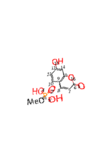 COP(=O)(O)O.O=c1ccc2ccc(O)cc2o1